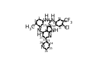 Cc1ccc(NC(=S)Nc2ccc(Cl)c(C(F)(F)F)c2)cc1Nc1cc(-c2cccnc2)nc2[nH]ccc12